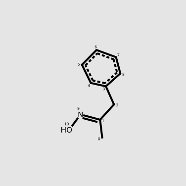 CC(Cc1ccccc1)=NO